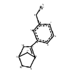 BrCc1cccc(C2=C3CCC(C3)C2)c1